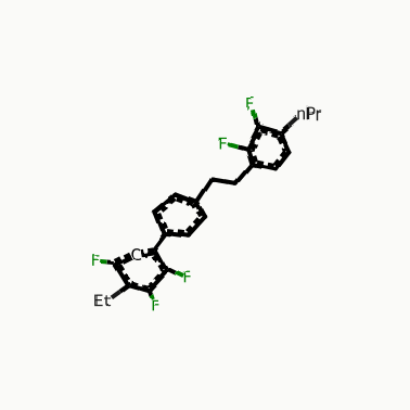 CCCc1ccc(CCc2ccc(-c3cc(F)c(CC)c(F)c3F)cc2)c(F)c1F